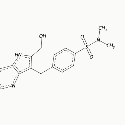 CN(C)S(=O)(=O)c1ccc(Cc2c(CO)[nH]c3cccnc23)cc1